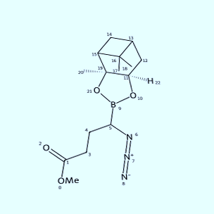 COC(=O)CCC(N=[N+]=[N-])B1O[C@@H]2CC3CC(C3(C)C)[C@]2(C)O1